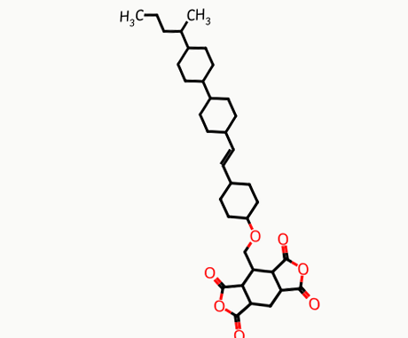 CCCC(C)C1CCC(C2CCC(/C=C/C3CCC(OCC4C5C(=O)OC(=O)C5CC5C(=O)OC(=O)C54)CC3)CC2)CC1